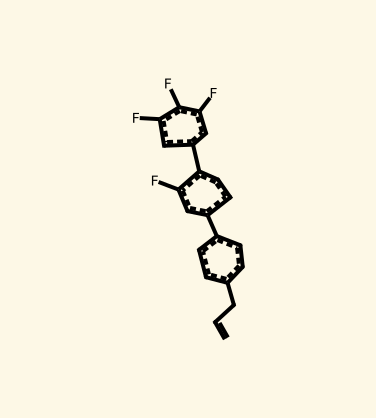 C=CCc1ccc(-c2ccc(-c3cc(F)c(F)c(F)c3)c(F)c2)cc1